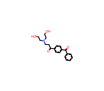 O=C(CCN(CCO)CCO)c1ccc(C(=O)c2ccccc2)cc1